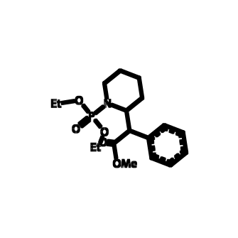 CCOP(=O)(OCC)N1CCCCC1C(C(=O)OC)c1ccccc1